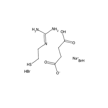 Br.Br.NC(N)=NCCS.O=C([O-])CCC(=O)O.[Na+]